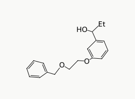 CCC(O)c1cccc(OCCOCc2ccccc2)c1